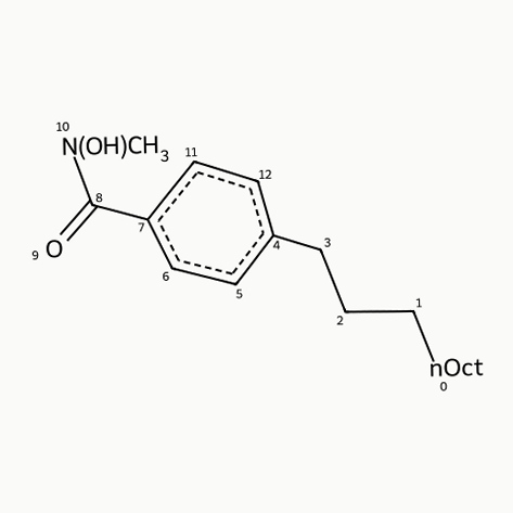 CCCCCCCCCCCc1ccc(C(=O)N(C)O)cc1